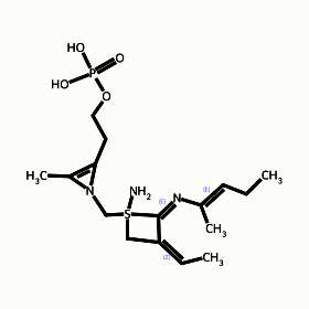 C/C=C1/CS(N)(CN2C(C)=C2CCOP(=O)(O)O)/C1=N/C(C)=C/CC